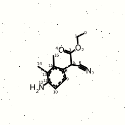 CCOC(=O)C(C#N)c1ccc(N)c(C)c1C